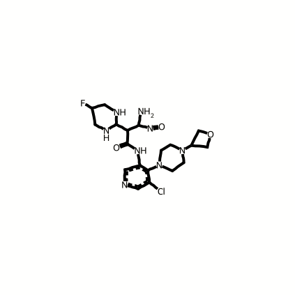 NC(N=O)C(C(=O)Nc1cncc(Cl)c1N1CCN(C2COC2)CC1)C1NCC(F)CN1